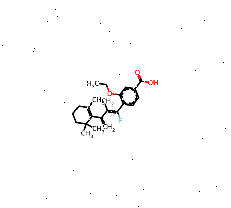 C=C(C1=C(C)CCCC1(C)C)/C(C)=C(\F)c1ccc(C(=O)O)cc1OCC